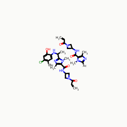 C=CC(=O)N1CC(NC(=O)c2c(C)nc(C(C)=O)n2C)C1.C=CC(=O)N1CC(NC(=O)c2c(C)nc(C(C)Nc3cc(C(C)(C)C)c(Cl)cc3O)n2C)C1